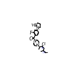 C/C=C(C)\C=C(\Cl)C(C)N1CCN(C(=O)c2ccc(N3BCCC3)cc2F)CC1